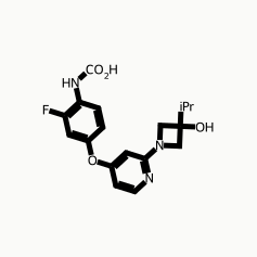 CC(C)C1(O)CN(c2cc(Oc3ccc(NC(=O)O)c(F)c3)ccn2)C1